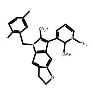 COC1C(c2c(C(=O)O)n(Cc3cc(F)ccc3F)c3cc4c(cc23)OCC4)=CC=CN1C